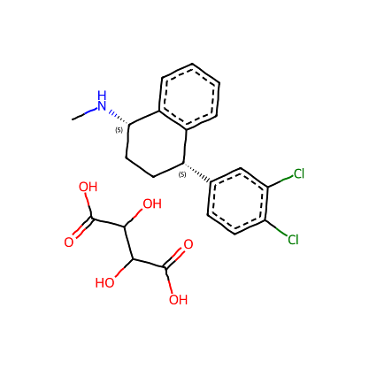 CN[C@H]1CC[C@@H](c2ccc(Cl)c(Cl)c2)c2ccccc21.O=C(O)C(O)C(O)C(=O)O